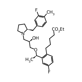 CCOC(=O)CCCCc1ccc(F)cc1[C@@H](C)OC[C@H](O)CN1CCC[C@H]1Cc1ccc(C)c(F)c1